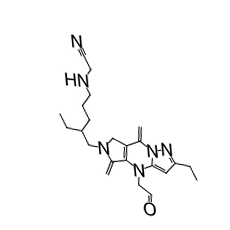 C=C1C2=C(CN1CC(CC)CCCNCC#N)C(=C)n1nc(CC)cc1N2CC=O